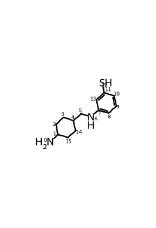 NC1CCC(CNc2cccc(S)c2)CC1